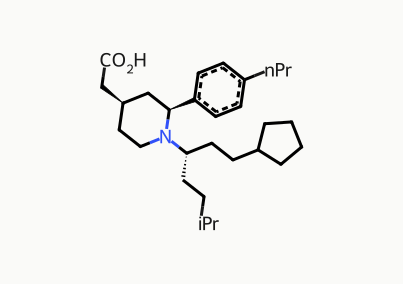 CCCc1ccc([C@@H]2C[C@H](CC(=O)O)CCN2[C@@H](CCC(C)C)CCC2CCCC2)cc1